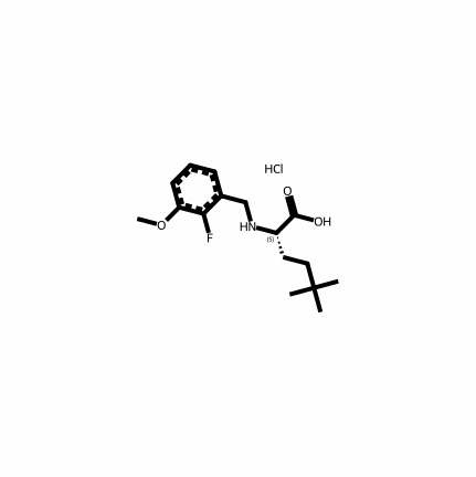 COc1cccc(CN[C@@H](CCC(C)(C)C)C(=O)O)c1F.Cl